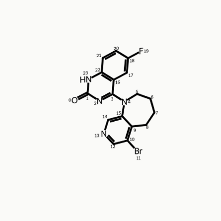 O=c1nc(N2CCCCc3c(Br)cncc32)c2cc(F)ccc2[nH]1